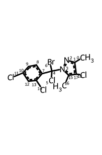 Cc1nn(C(Cl)(Br)c2ccc(Cl)cc2Cl)c(C)c1Cl